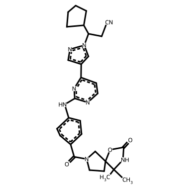 CC1(C)NC(=O)OC12CCN(C(=O)c1ccc(Nc3nccc(-c4cnn(C(CC#N)C5CCCC5)c4)n3)cc1)C2